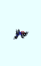 c1ccc(-c2nc(-n3c4ccccc4c4c5c6ccccc6n(-c6ccccc6)c5ccc43)nc3oc4ccccc4c23)cc1